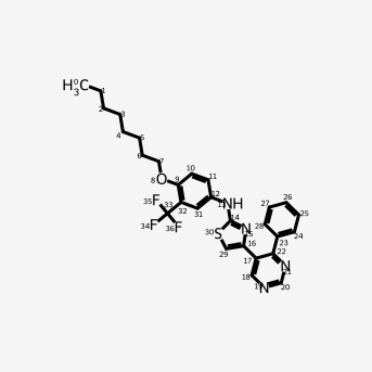 CCCCCCCCOc1ccc(Nc2nc(-c3cncnc3-c3ccccc3)cs2)cc1C(F)(F)F